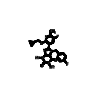 CCCn1c(=O)c2c(nc(-c3cc(F)c(C)nc3OCC3CC3)n2Cc2ccc(F)cc2)n(C(C)C)c1=O